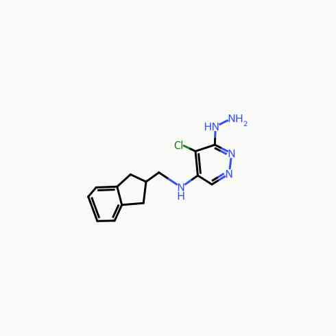 NNc1nncc(NCC2Cc3ccccc3C2)c1Cl